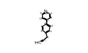 C#CCc1ccc(-c2ccncc2)cc1